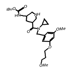 COCCCOc1cc(CN(C(=O)C2CNCC(NC(=O)OCC(C)C)C2)C2CC2)cc(OC)c1